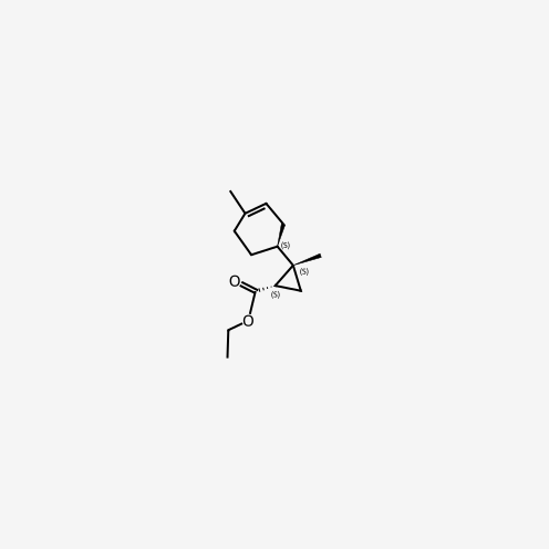 CCOC(=O)[C@H]1C[C@@]1(C)[C@@H]1CC=C(C)CC1